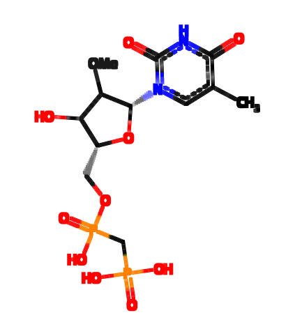 COC1C(O)[C@@H](COP(=O)(O)CP(=O)(O)O)O[C@H]1n1cc(C)c(=O)[nH]c1=O